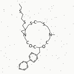 CCSCCSCC12CSCCSCCN(C)CCOC(Cc3ccc(-c4ccccc4)cc3)COCCN1C2